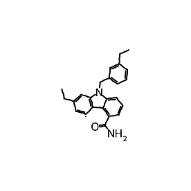 CCc1cccc(Cn2c3cc(CC)c[c]c3c3c(C(N)=O)cccc32)c1